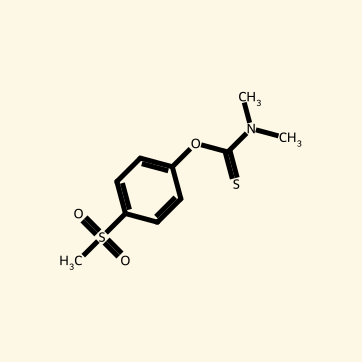 CN(C)C(=S)Oc1ccc(S(C)(=O)=O)cc1